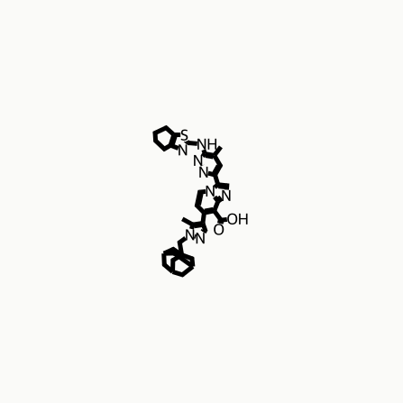 Cc1cc(-c2cnc3c(C(=O)O)c(-c4cnn(CC56CC7CC(CC(C7)C5)C6)c4C)ccn23)nnc1Nc1nc2c(s1)CCCC2